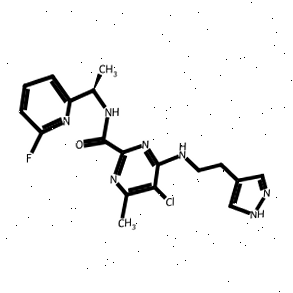 Cc1nc(C(=O)N[C@H](C)c2cccc(F)n2)nc(NCCc2cn[nH]c2)c1Cl